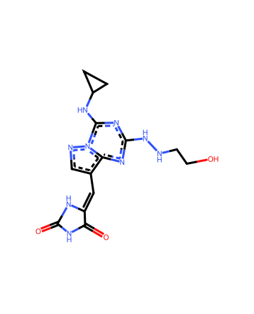 O=C1NC(=O)/C(=C/c2cnn3c(NC4CC4)nc(NNCCO)nc23)N1